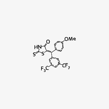 COc1ccc(C(=C2SC(=S)NC2=O)c2cc(C(F)(F)F)cc(C(F)(F)F)c2)cc1